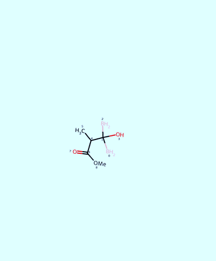 BC(B)(O)C(C)C(=O)OC